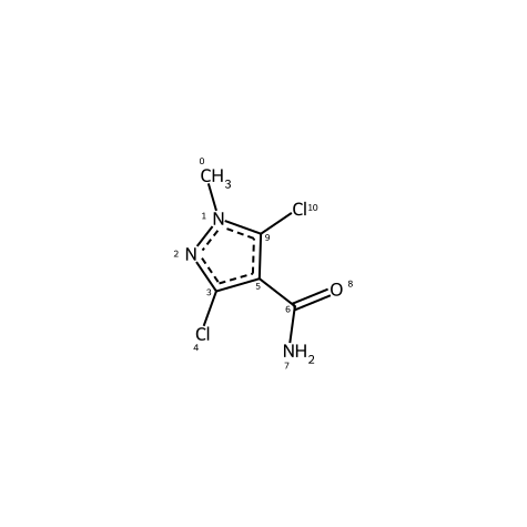 Cn1nc(Cl)c(C(N)=O)c1Cl